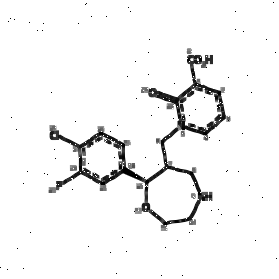 O=C(O)c1cccn(CC2CNCCO[C@H]2c2ccc(Cl)c(F)c2)c1=O